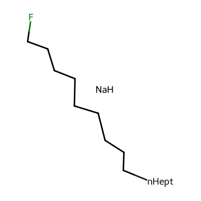 CCCCCCCCCCCCCCCCF.[NaH]